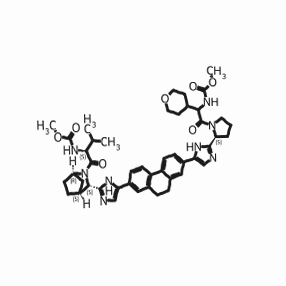 COC(=O)NC(C(=O)N1CCC[C@H]1c1ncc(-c2ccc3c(c2)CCc2cc(-c4cnc([C@@H]5[C@H]6CC[C@H](C6)N5C(=O)[C@@H](NC(=O)OC)C(C)C)[nH]4)ccc2-3)[nH]1)C1CCOCC1